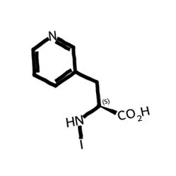 O=C(O)[C@H](Cc1cccnc1)NI